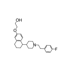 OCCOc1ccc2c(c1)CCCC2C1CCN(CCc2ccc(F)cc2)CC1